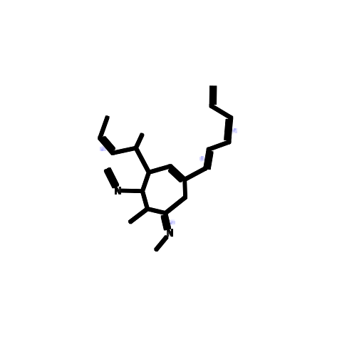 C=C/C=C\C=C\C1=CC(C(C)/C=C\C)C(N=C)C(C)/C(=N\C)C1